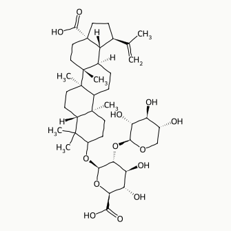 C=C(C)[C@@H]1CC[C@]2(C(=O)O)CC[C@]3(C)[C@H](CCC4[C@@]5(C)CCC(O[C@@H]6O[C@H](C(=O)O)[C@@H](O)[C@H](O)[C@H]6O[C@@H]6OC[C@@H](O)[C@H](O)[C@H]6O)C(C)(C)[C@@H]5CC[C@]43C)[C@@H]12